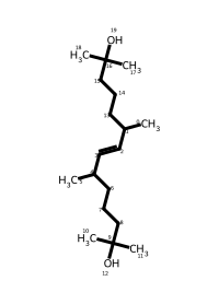 CC(/C=C/C(C)CCCC(C)(C)O)CCCC(C)(C)O